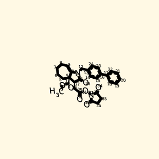 COC(=O)[C@@]12CCCCC=C1N(Cc1ccc(-c3ccccc3)cc1)C(=O)[C@H]2CC(=O)ON1C(=O)CCC1=O